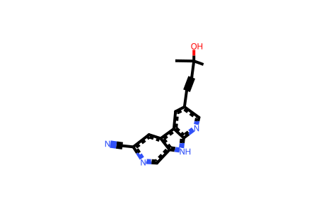 CC(C)(O)C#Cc1cnc2[nH]c3cnc(C#N)cc3c2c1